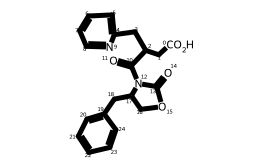 O=C(O)CC(Cc1ccccn1)C(=O)N1C(=O)OCC1Cc1ccccc1